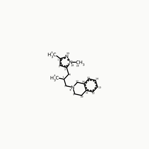 Cc1cc(CC(C)CN2CCc3ccccc3C2)n(C)n1